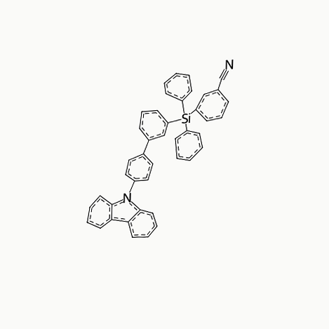 N#Cc1cccc([Si](c2ccccc2)(c2ccccc2)c2cccc(-c3ccc(-n4c5ccccc5c5ccccc54)cc3)c2)c1